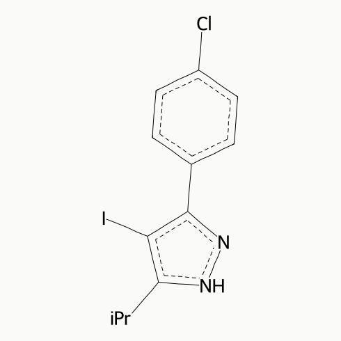 CC(C)c1[nH]nc(-c2ccc(Cl)cc2)c1I